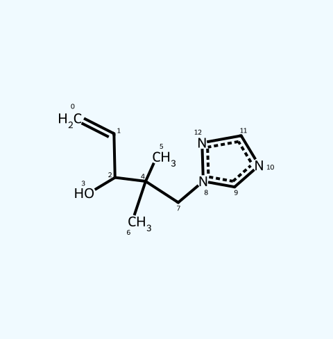 C=CC(O)C(C)(C)Cn1cncn1